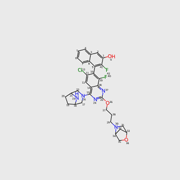 Oc1cc2ccccc2c(-c2c(Cl)cc3c(N4CC5CCC(C4)N5)nc(OCCCN4CC5CC4CO5)nc3c2F)c1F